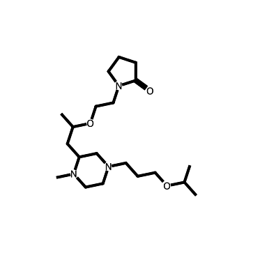 CC(C)OCCCN1CCN(C)C(CC(C)OCCN2CCCC2=O)C1